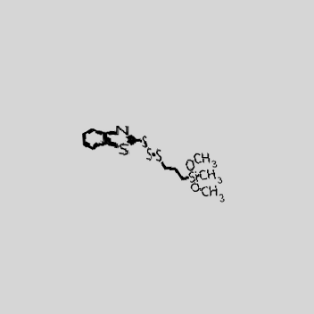 CO[Si](C)(CCCSSSc1nc2ccccc2s1)OC